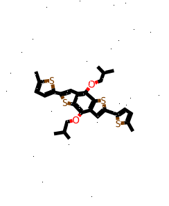 Cc1ccc(-c2cc3c(OCC(C)C)c4sc(-c5ccc(C)s5)cc4c(OCC(C)C)c3s2)s1